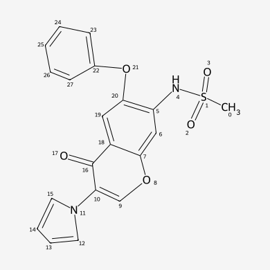 CS(=O)(=O)Nc1cc2occ(-n3cccc3)c(=O)c2cc1Oc1ccccc1